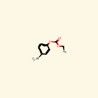 CC(=O)COC(=O)Oc1ccc([N+](=O)[O-])cc1